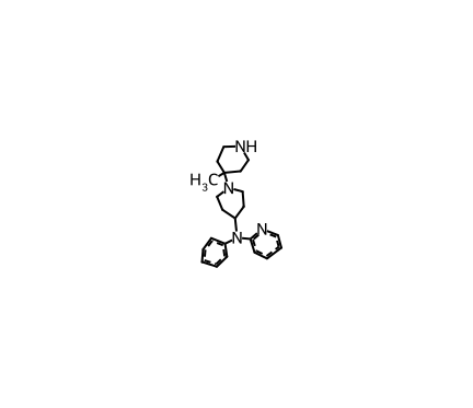 CC1(N2CCC(N(c3ccccc3)c3ccccn3)CC2)CCNCC1